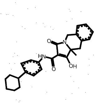 CC12Cc3ccccc3CN1C(=O)C(C(=O)Nc1ccc(C3CCCCC3)cc1)=C2O